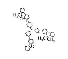 CC1(C)c2ccccc2-c2ccc(-c3ccc(C(c4ccc(-c5ccc6c(c5)C(C)(C)c5ccccc5-6)cc4)c4cccc(-c5ccc6oc7ccccc7c6c5)c4)cc3)cc21